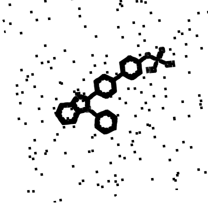 O=P(O)(O)Oc1ccc(-c2ccc(-c3nc4ccccc4n3-c3ccccc3)cc2)cc1